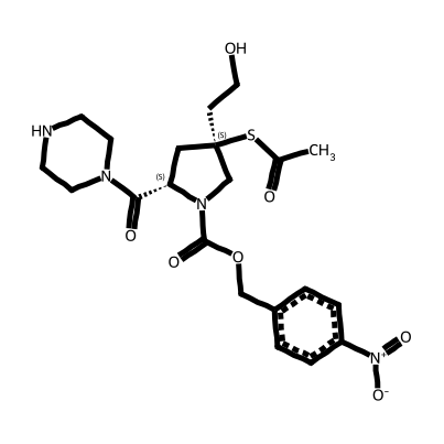 CC(=O)S[C@]1(CCO)C[C@@H](C(=O)N2CCNCC2)N(C(=O)OCc2ccc([N+](=O)[O-])cc2)C1